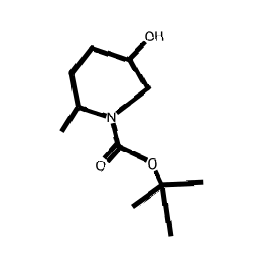 CC1CCC(O)CN1C(=O)OC(C)(C)C